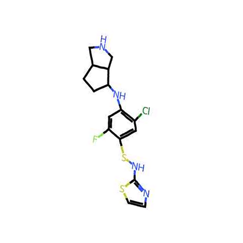 Fc1cc(NC2CCC3CNCC32)c(Cl)cc1SNc1nccs1